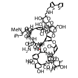 CN[C@H](CC(C)C)C(=O)N[C@H]1C(=O)N[C@@H](CC(N)=O)C(=O)N[C@H]2C(=O)N[C@H]3C(=O)N[C@H](C(=O)N[C@@H](C(=O)O)C4=C(C(O)=CC(O)C4)c4cc3ccc4O)[C@H](O[C@H]3C[C@](C)(N)[C@@H](O)[C@H](C)O3)c3ccc(c(Cl)c3)Oc3cc2cc(c3O[C@@H]2O[C@H](CO)[C@@H](OC3O[C@H](CNCc4ccc(-c5cccs5)s4)[C@H](O)[C@H](O)[C@H]3O)[C@H](O)[C@H]2O)Oc2ccc(cc2Cl)[C@H]1O